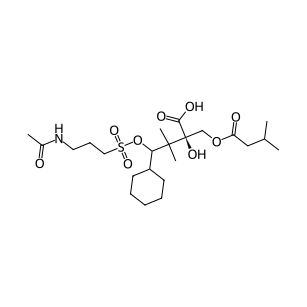 CC(=O)NCCCS(=O)(=O)OC(C1CCCCC1)C(C)(C)[C@@](O)(COC(=O)CC(C)C)C(=O)O